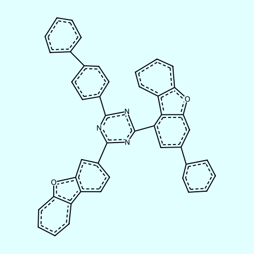 c1ccc(-c2ccc(-c3nc(-c4ccc5c(c4)oc4ccccc45)nc(-c4cc(-c5ccccc5)cc5oc6ccccc6c45)n3)cc2)cc1